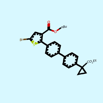 CCCCOC(=O)c1cc(Br)sc1-c1ccc(-c2ccc(C3(C(=O)OCC)CC3)cc2)cc1